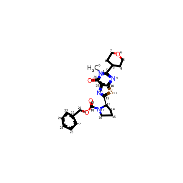 Cn1c(C2CCOCC2)nc2sc([C@H]3CCCN3C(=O)OCc3ccccc3)nc2c1=O